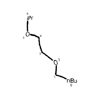 CCCCCOCCOC(C)C